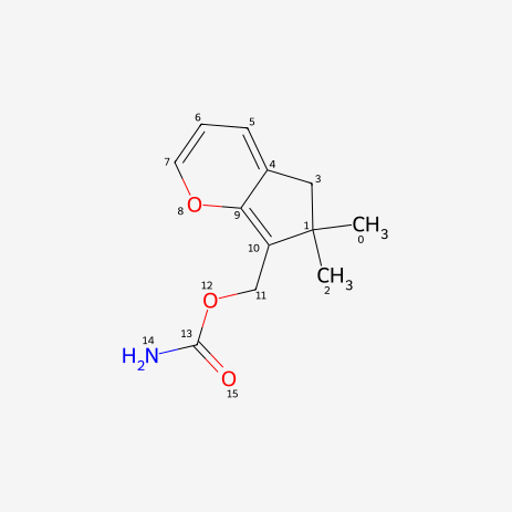 CC1(C)CC2=CC=COC2=C1COC(N)=O